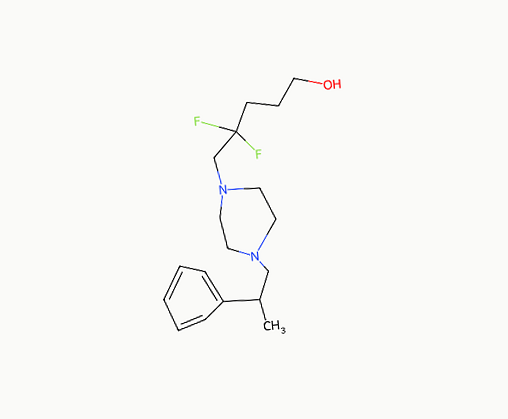 CC(CN1CCN(CC(F)(F)CCCO)CC1)c1ccccc1